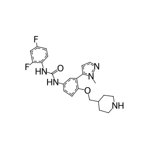 Cn1nccc1-c1cc(NC(=O)Nc2ccc(F)cc2F)ccc1OCC1CCNCC1